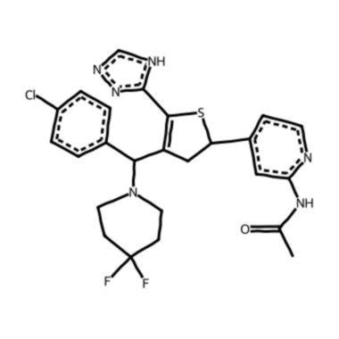 CC(=O)Nc1cc(C2CC(C(c3ccc(Cl)cc3)N3CCC(F)(F)CC3)=C(c3nnc[nH]3)S2)ccn1